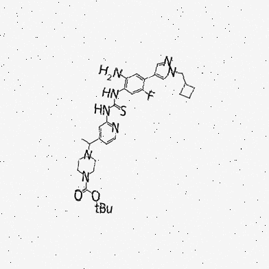 CC(c1ccnc(NC(=S)Nc2cc(F)c(-c3cnn(CC4CCC4)c3)cc2N)c1)N1CCN(C(=O)OC(C)(C)C)CC1